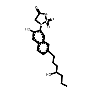 CCCC(O)CCCc1ccc2cc(O)c(N3CC(=O)NS3(=O)=O)cc2c1